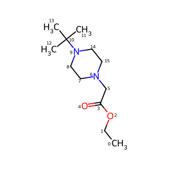 CCOC(=O)CN1CCN(C(C)(C)C)CC1